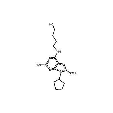 Nc1nc(NCCCCO)c2cc(C(=O)O)n(C3CCCC3)c2n1